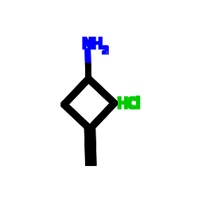 C=C1CC(N)C1.Cl